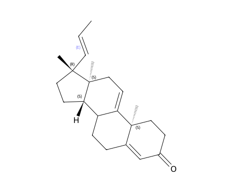 C/C=C/[C@@]1(C)CC[C@H]2C3CCC4=CC(=O)CC[C@]4(C)C3=CC[C@@]21C